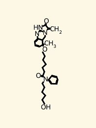 C=c1c(=O)[nH]c2n1CC1C(=CC=CC1(C)OCCCCCCC(=O)N(CCCCCCO)c1ccccc1)N=2